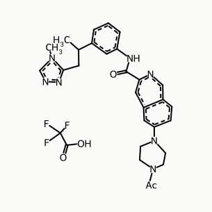 CC(=O)N1CCN(c2ccc3cnc(C(=O)Nc4cccc(C(C)Cc5nncn5C)c4)cc3c2)CC1.O=C(O)C(F)(F)F